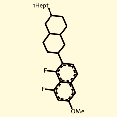 CCCCCCCC1CCC2CC(c3ccc4cc(OC)cc(F)c4c3F)CCC2C1